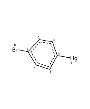 Brc1cc[c]([Hg])cc1